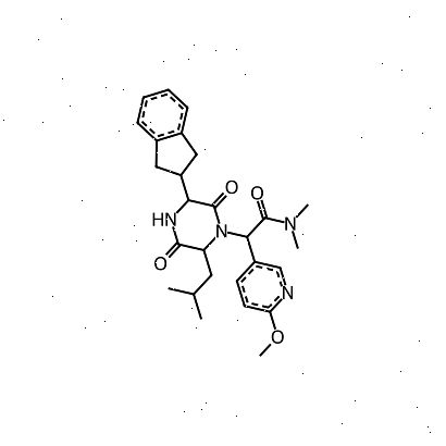 COc1ccc(C(C(=O)N(C)C)N2C(=O)C(C3Cc4ccccc4C3)NC(=O)C2CC(C)C)cn1